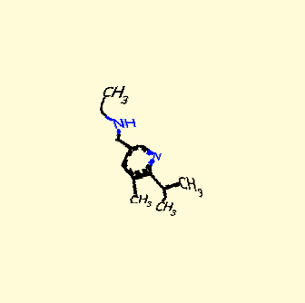 CCNCc1cnc(C(C)C)c(C)c1